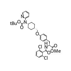 COC(=O)[C@H](Cc1ccc(OC[C@H]2CC[C@@H](N(C(=O)OC(C)(C)C)c3ccccn3)CC2)cc1)NC(=O)c1c(Cl)cccc1Cl